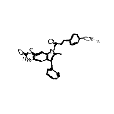 Cc1c(-c2ccccc2)c2cc3[nH]c(=O)sc3cc2n1C(=O)CCc1ccc(C(F)(F)F)cc1